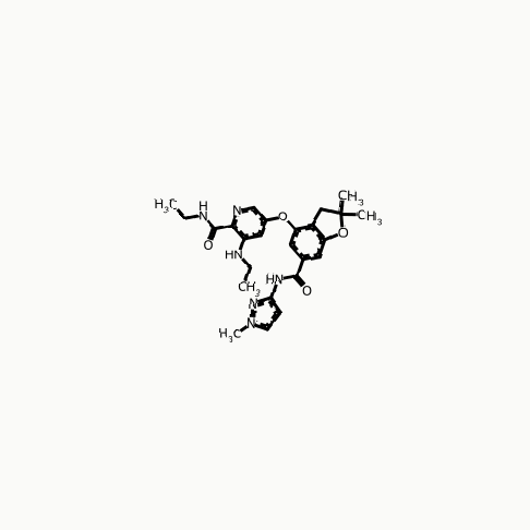 CCNC(=O)c1ncc(Oc2cc(C(=O)Nc3ccn(C)n3)cc3c2CC(C)(C)O3)cc1NCC